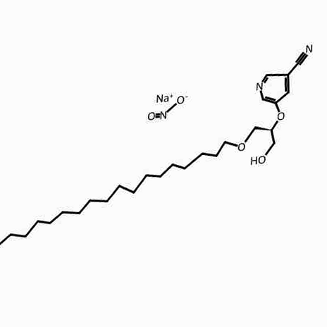 CCCCCCCCCCCCCCCCCCOC[C@H](CO)Oc1cncc(C#N)c1.O=N[O-].[Na+]